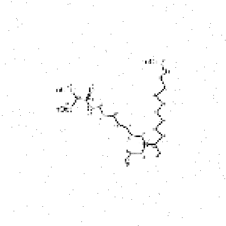 CCCCCCCCOCCCCCCCCC(C)N(CCO)CCCCCCCOC(=O)C(CCCCCCCC)CCCCCCCC